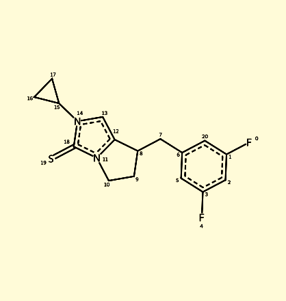 Fc1cc(F)cc(CC2CCn3c2cn(C2CC2)c3=S)c1